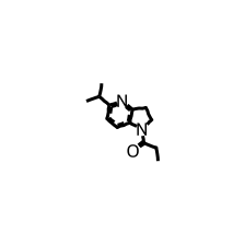 CCC(=O)N1CCc2nc(C(C)C)ccc21